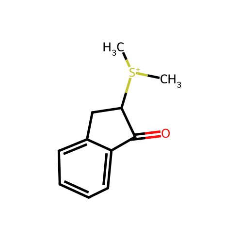 C[S+](C)C1Cc2ccccc2C1=O